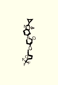 Cn1c(C2CC2)nc2ccc(-n3ccc(OCc4ccc(C(F)(F)F)o4)cc3=O)cc21